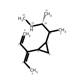 C=C/C(=C/C)C1CC1C(C)[C@@H](C)NC